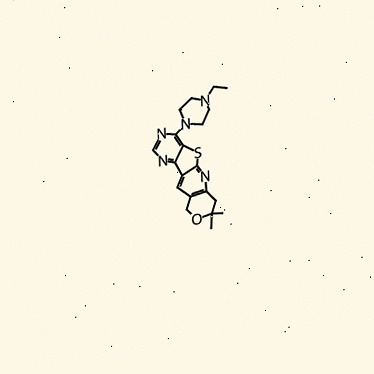 CCN1CCN(c2ncnc3c2sc2nc4c(cc23)COC(C)(C)C4)CC1